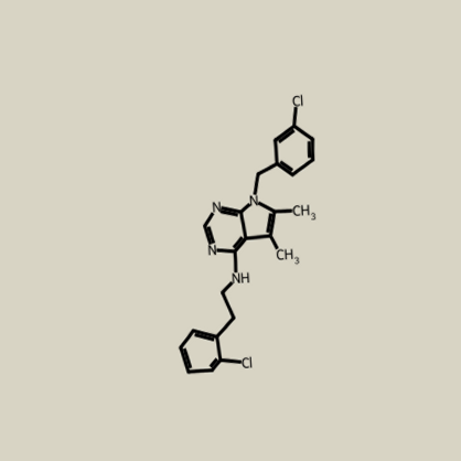 Cc1c(C)n(Cc2cccc(Cl)c2)c2ncnc(NCCc3ccccc3Cl)c12